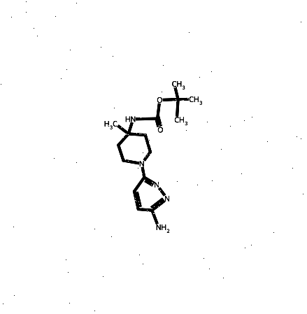 CC1(NC(=O)OC(C)(C)C)CCN(c2ccc(N)nn2)CC1